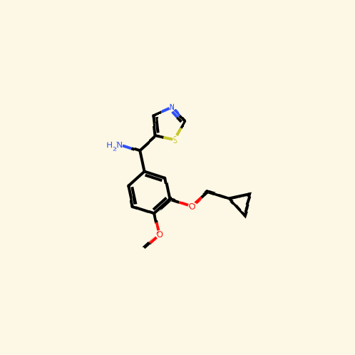 COc1ccc(C(N)c2cncs2)cc1OCC1CC1